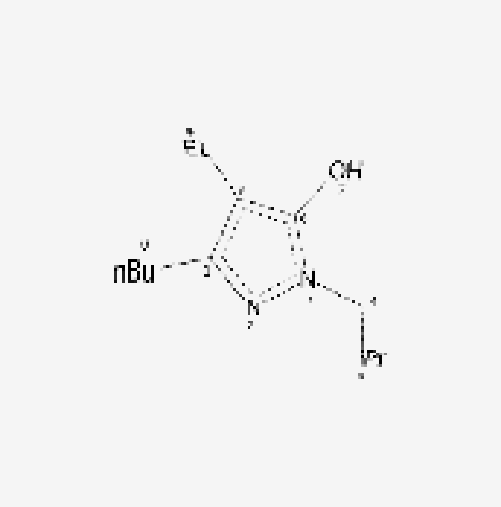 CCCCc1nn(CC(C)C)c(O)c1CC